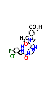 CN(C(=O)c1cnn2c1CN(C(=O)c1cc3c(Cl)c(F)ccc3[nH]1)CC2)C1(c2ccc(C(=O)O)cc2)CC1